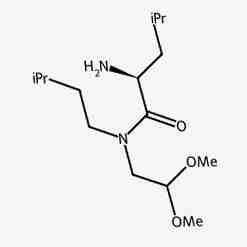 COC(CN(CCC(C)C)C(=O)[C@@H](N)CC(C)C)OC